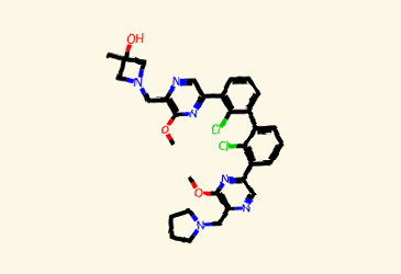 COc1nc(-c2cccc(-c3cccc(-c4cnc(CN5CC(C)(O)C5)c(OC)n4)c3Cl)c2Cl)cnc1CN1CCCC1